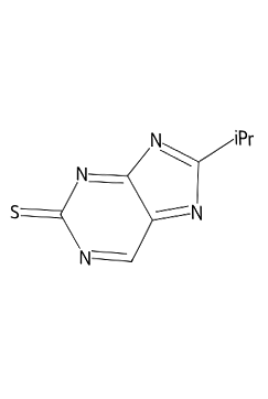 CC(C)C1=NC2=NC(=S)N=CC2=N1